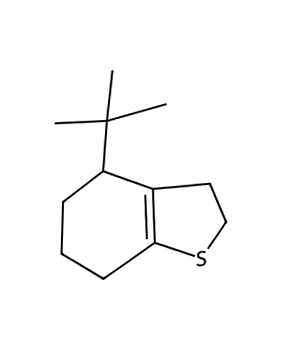 CC(C)(C)C1CCCC2=C1CCS2